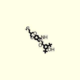 CN(C)CCC1COc2cc3c(cc2OC1)C(=N)N(CC(=O)c1cc(C(C)(C)C)c(O)c(C(C)(C)C)c1)C3